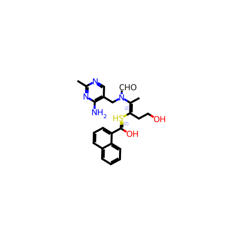 C/C(=C(CCO)/[SH]=C(\O)c1cccc2ccccc12)N(C=O)Cc1cnc(C)nc1N